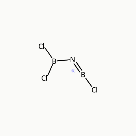 Cl/B=N/B(Cl)Cl